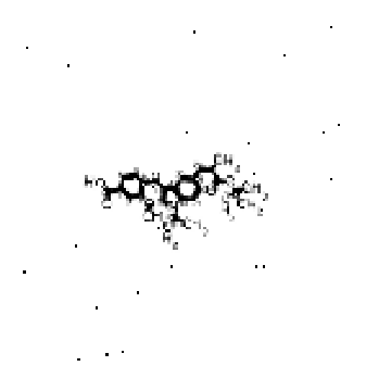 COc1cc(C(=O)O)ccc1Cc1cn(C(C)C)c2ccc(C=C(C)C(=O)OC(C)(C)C)cc12